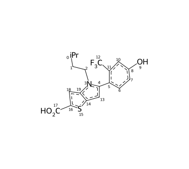 CC(C)CCn1c(-c2ccc(O)cc2C(F)(F)F)cc2sc(C(=O)O)cc21